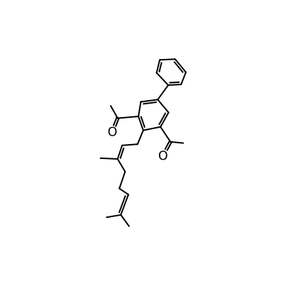 CC(=O)c1cc(-c2ccccc2)cc(C(C)=O)c1CC=C(C)CCC=C(C)C